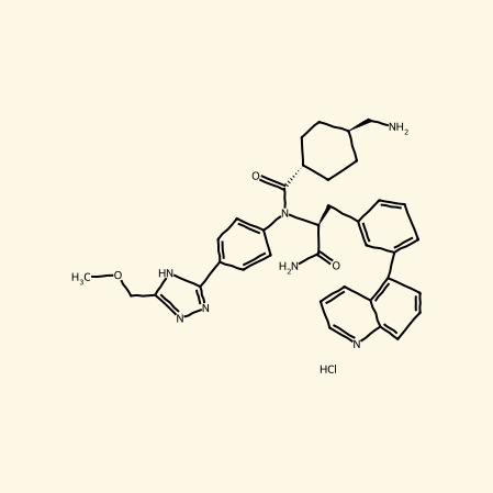 COCc1nnc(-c2ccc(N(C(=O)[C@H]3CC[C@H](CN)CC3)[C@@H](Cc3cccc(-c4cccc5ncccc45)c3)C(N)=O)cc2)[nH]1.Cl